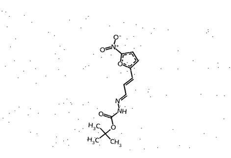 CC(C)(C)OC(=O)N/N=C/C=C/c1ccc([N+](=O)[O-])o1